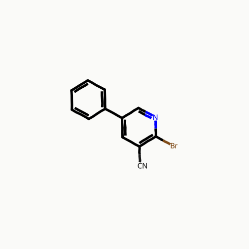 N#Cc1cc(-c2ccccc2)cnc1Br